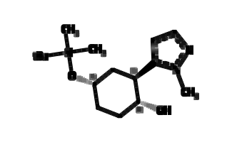 Cn1nccc1[C@@H]1C[C@@H](O[Si](C)(C)C(C)(C)C)CC[C@H]1O